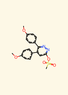 COc1ccc(-c2cc(OS(C)(=O)=O)nnc2-c2ccc(OC)cc2)cc1